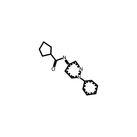 O=C(/N=c1\ccn(-c2ccccc2)nc1)C1CCCC1